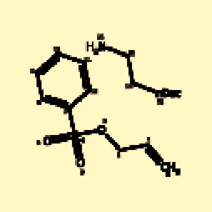 C=CCOS(=O)(=O)c1ccccc1.CCCCCCCCCCCCN